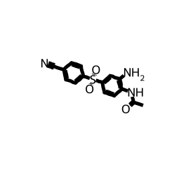 CC(=O)Nc1ccc(S(=O)(=O)c2ccc(C#N)cc2)cc1N